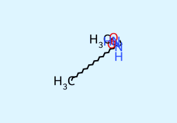 CCCCCCCCCCCCCCCCCC1(OC(C)=O)NCCN1